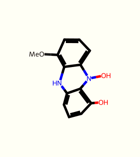 COc1cccc2c1Nc1cccc(O)c1N2O